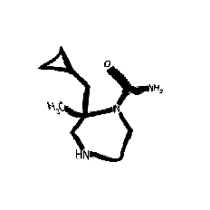 CC1(CC2CC2)CNCCN1C(N)=O